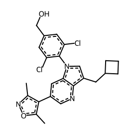 Cc1noc(C)c1-c1cnc2c(CC3CCC3)cn(-c3c(Cl)cc(CO)cc3Cl)c2c1